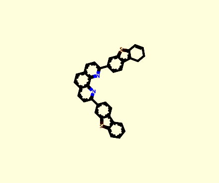 C1=Cc2sc3cc(-c4ccc5ccc6ccc(-c7ccc8c(c7)sc7ccccc78)nc6c5n4)ccc3c2CC1